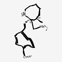 COc1ccc(C[C@]2(CN)NCCC[C@H]2C)cc1